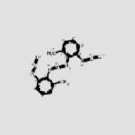 Cc1cccc(N=C=O)c1N=C=Nc1c(C)cccc1N=C=O